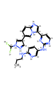 CCCNc1ccc(Nc2nccc(-c3cnc4ccc(-c5cnn(C(F)F)c5)cn34)n2)cn1